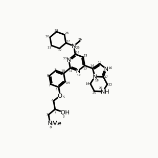 CNCC(O)COc1cccc(-c2nc(-c3cnc4n3CCNC4)cc(N(C)C3CCCCC3)n2)c1